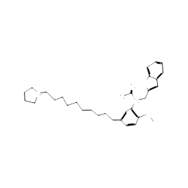 COc1ccc(CCCCCCCCCCN2CCCC2)cc1N(Cc1cc2ccccc2o1)C(=N)N